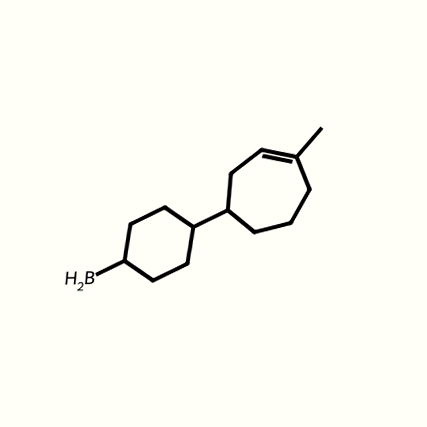 BC1CCC(C2CC=C(C)CCC2)CC1